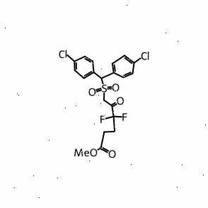 COC(=O)CCC(F)(F)C(=O)CS(=O)(=O)C(c1ccc(Cl)cc1)c1ccc(Cl)cc1